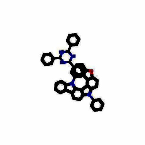 c1ccc(C2NC(c3ccccc3)NC(c3cccc(-n4c5ccccc5c5ccc6c(c7c8c(ccc7n6-c6ccccc6)oc6ccccc68)c54)c3)N2)cc1